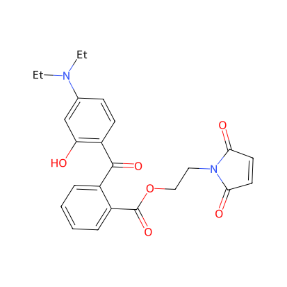 CCN(CC)c1ccc(C(=O)c2ccccc2C(=O)OCCN2C(=O)C=CC2=O)c(O)c1